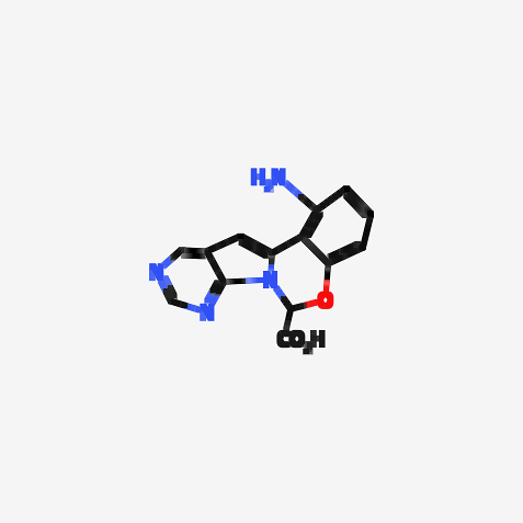 Nc1cccc2c1-c1cc3cncnc3n1C(C(=O)O)O2